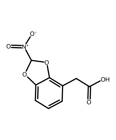 O=C(O)Cc1cccc2c1OC([N+](=O)[O-])O2